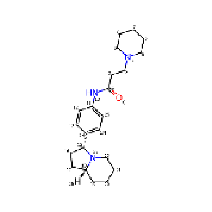 O=C(CCN1CCCCC1)Nc1ccc([C@H]2CC[C@H]3CCCCN32)cc1